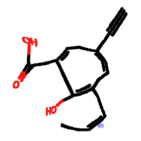 C#Cc1cc(/C=C\C)c(O)c(C(=O)O)c1